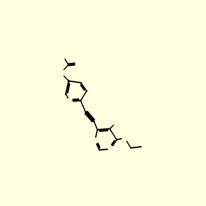 NC(=O)Oc1ccc(C#Cc2ncnc(OCC(F)(F)F)c2Br)nc1